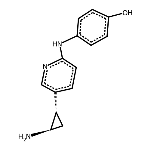 N[C@@H]1C[C@H]1c1ccc(Nc2ccc(O)cc2)nc1